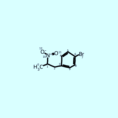 CC(Cc1ccc(Br)cc1)[N+](=O)[O-]